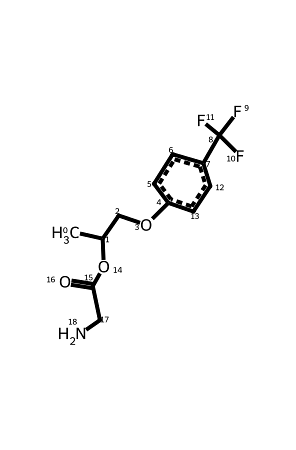 CC(COc1ccc(C(F)(F)F)cc1)OC(=O)CN